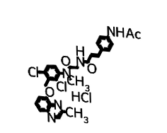 CC(=O)Nc1ccc(/C=C/C(=O)NCC(=O)N(C)c2ccc(Cl)c(COc3cccc4ncc(C)nc34)c2Cl)cc1.Cl